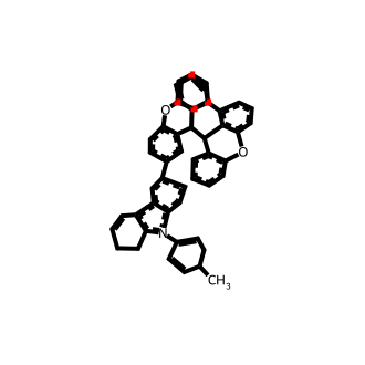 CC1C=CC(n2c3c(c4cc(-c5ccc6c(c5)C(C5c7ccccc7Oc7cccc(C8C=CC=CC8)c75)C5CC=CC=C5O6)ccc42)C=CCC3)=CC1